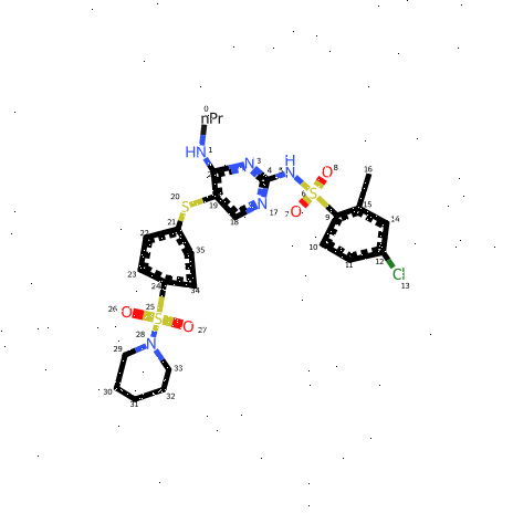 CCCNc1nc(NS(=O)(=O)c2ccc(Cl)cc2C)ncc1Sc1ccc(S(=O)(=O)N2CCCCC2)cc1